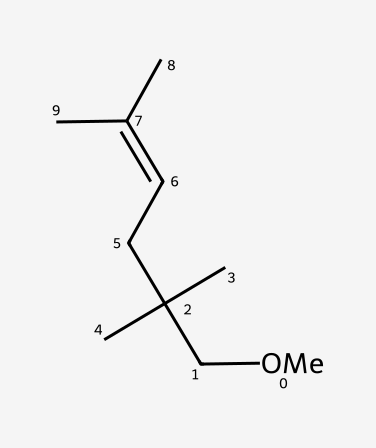 COCC(C)(C)CC=C(C)C